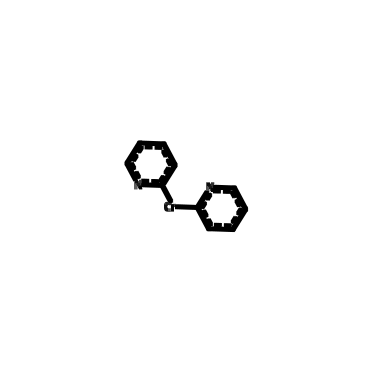 c1cc[c]([Cr][c]2ccccn2)nc1